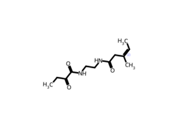 C/C=C(/C)CC(=O)NCCNC(=O)C(=O)CC